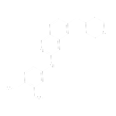 COc1ccc(Nc2cc3cc(OC4CCNCC4)ccc3cn2)cc1OC